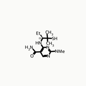 CC[C@H](Nc1nc(NC)ncc1C(N)=O)C(C)(C)S